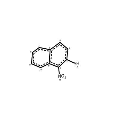 O=[N+]([O-])c1c(S)ccc2ccccc12